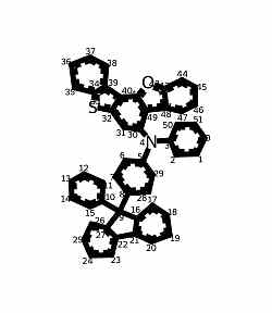 c1ccc(N(c2ccc(C3(c4ccccc4)c4ccccc4-c4ccccc43)cc2)c2cc3sc4ccccc4c3c3oc4ccccc4c23)cc1